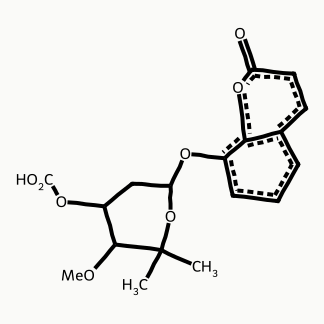 COC1C(OC(=O)O)CC(Oc2cccc3ccc(=O)oc23)OC1(C)C